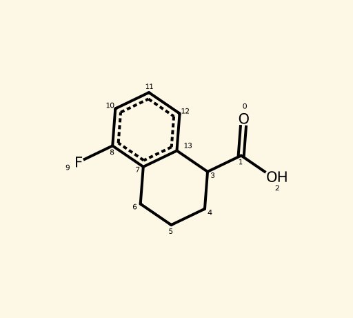 O=C(O)C1CCCc2c(F)cccc21